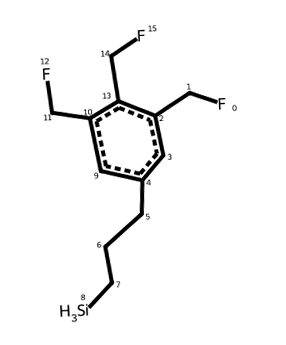 FCc1cc(CCC[SiH3])cc(CF)c1CF